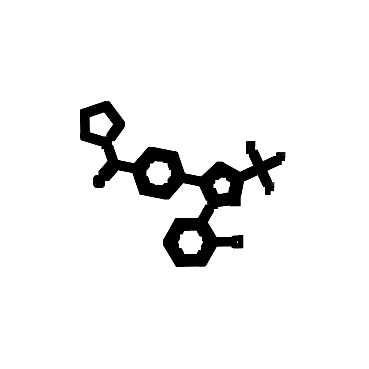 O=C(c1ccc(-c2cc(C(F)(F)F)nn2-c2ccccc2Cl)cc1)N1CCCC1